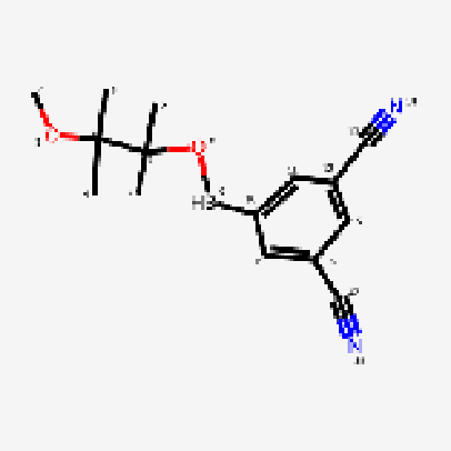 COC(C)(C)C(C)(C)OBc1cc(C#N)cc(C#N)c1